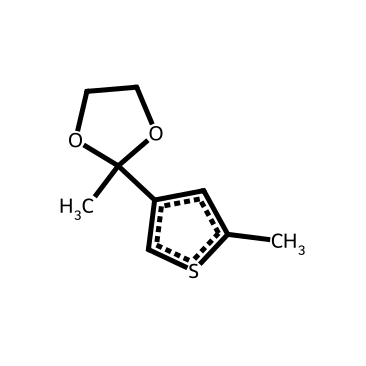 Cc1cc(C2(C)OCCO2)cs1